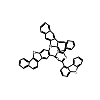 c1ccc(-c2nc(-c3cc4c(cc3-n3c5ccccc5c5cc6ccccc6cc53)oc3c5ccccc5ccc43)nc(-c3cccc4sc5ccccc5c34)n2)cc1